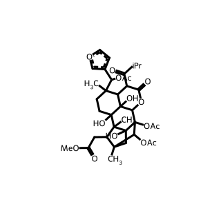 COC(=O)CC1C2(C)CC3(O)C(OC(C)=O)(C2OC(C)=O)C2OC(=O)C(C(=O)C(C)C)C4C(C)(C(OC(C)=O)c5ccoc5)CCC(O)(C42O)C13C